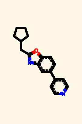 c1cc(-c2ccc3oc(CC4CCCC4)nc3c2)ccn1